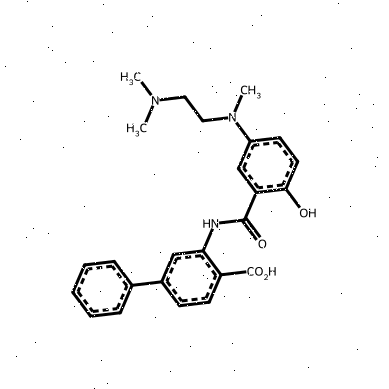 CN(C)CCN(C)c1ccc(O)c(C(=O)Nc2cc(-c3ccccc3)ccc2C(=O)O)c1